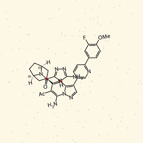 COc1ccc(-c2ccc(-c3cnn4c(N)c(C(C)=O)c([C@H]5C[C@H]6CC[C@@H](C5)N6C(=O)c5nnc(N)[nH]5)nc34)cn2)cc1F